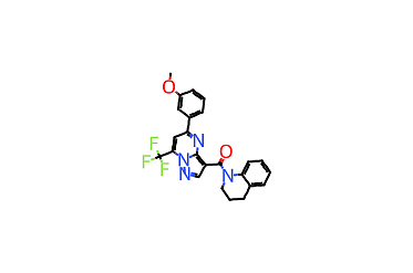 COc1cccc(-c2cc(C(F)(F)F)n3ncc(C(=O)N4CCCc5ccccc54)c3n2)c1